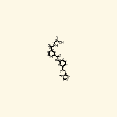 C[C@H](Sc1nncn1C)c1cccc(NC(=O)c2cc(C(=O)NC[C@@H](C)O)ccn2)c1